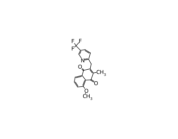 COc1cccc2c1C(=O)C(C)=C(Cc1ccc(C(F)(F)F)cn1)C2=O